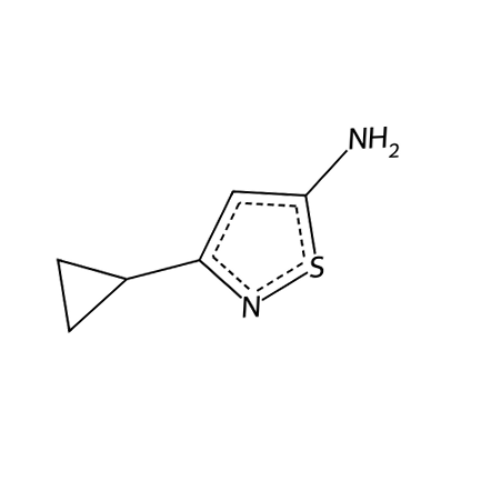 Nc1cc(C2CC2)ns1